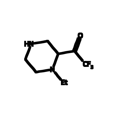 [CH2]CN1CCNCC1C(=O)C(F)(F)F